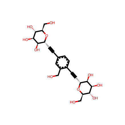 OCc1cc(C#C[C@H]2O[C@H](CO)[C@@H](O)[C@H](O)[C@@H]2O)ccc1C#C[C@H]1O[C@H](CO)[C@@H](O)[C@H](O)[C@@H]1O